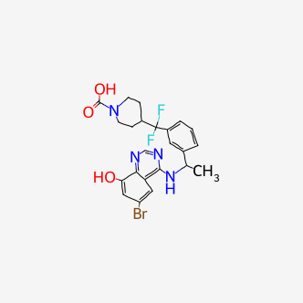 CC(Nc1ncnc2c(O)cc(Br)cc12)c1cccc(C(F)(F)C2CCN(C(=O)O)CC2)c1